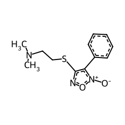 CN(C)CCSc1no[n+]([O-])c1-c1ccccc1